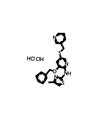 Cc1csc(Nc2ncc(SCc3cccnc3)cc2OCc2ccccc2)n1.Cl.Cl